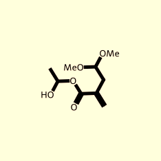 C=C(CC(OC)OC)C(=O)OC(C)O